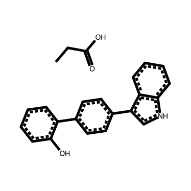 CCC(=O)O.Oc1ccccc1-c1ccc(-c2c[nH]c3ccccc23)cc1